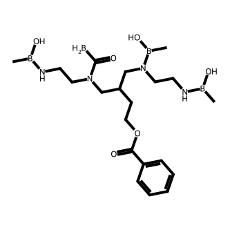 BC(=O)N(CCNB(C)O)CC(CCOC(=O)c1ccccc1)CN(CCNB(C)O)B(C)O